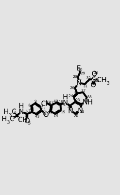 CC(C)(C)NC(=O)c1cccc(Oc2ccc(Nc3ncnc4c3C=C(CN(CCF)CCS(C)(=O)=O)CCN4)cc2Cl)c1